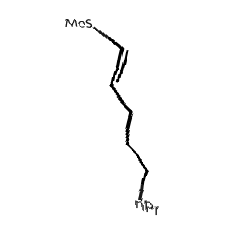 [CH2]CCCCC/C=C/SC